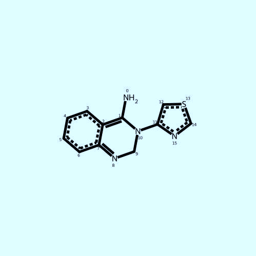 NC1=c2ccccc2=NCN1c1cscn1